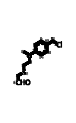 CN(CCSCC=O)c1ccc(CCl)cc1